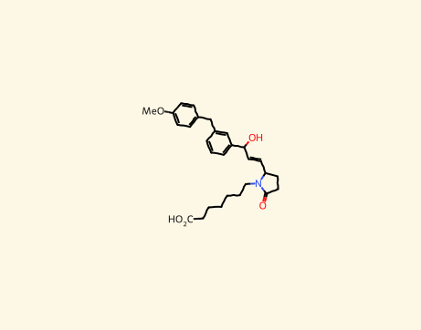 COc1ccc(Cc2cccc(C(O)C=CC3CCC(=O)N3CCCCCCC(=O)O)c2)cc1